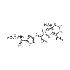 CCCCCCCCNC(=O)c1ccc(/C=C(\C)C=CC2=C(C)CCCC2(C)C)s1